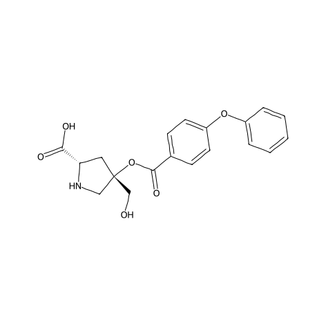 O=C(O[C@]1(CO)CN[C@H](C(=O)O)C1)c1ccc(Oc2ccccc2)cc1